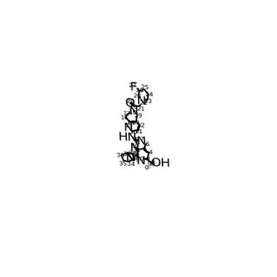 C[C@@H](O)c1cc2cnc(Nc3ccc4c(n3)CCN(C(=O)CN3CCCC(F)C3)C4)nc2c(N2C3CCC2CC3)n1